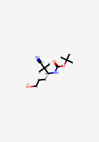 CC(C)(C)OC(=O)N[C@H](CCCO)C(C)(C)C#N